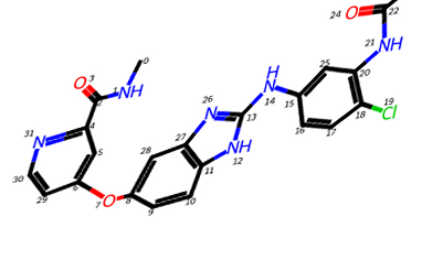 CNC(=O)c1cc(Oc2ccc3[nH]c(Nc4ccc(Cl)c(NC(C)=O)c4)nc3c2)ccn1